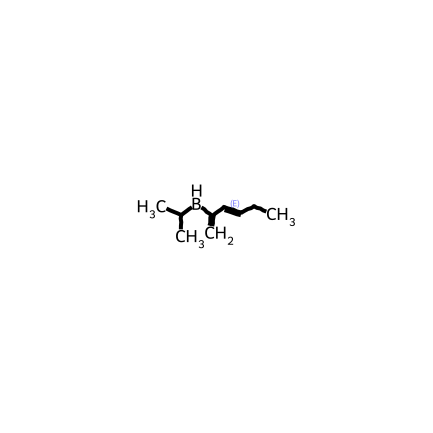 C=C(BC(C)C)/C=C/CC